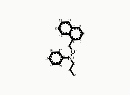 CCCN(OCc1cccc2ccccc12)c1ccccc1